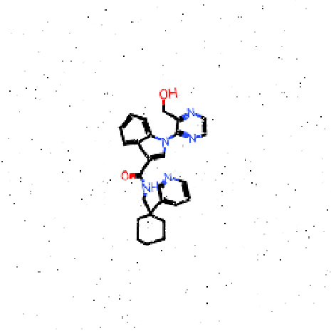 O=C(NCC1(c2cccnc2)CCCCC1)c1cn(-c2nccnc2CO)c2ccccc12